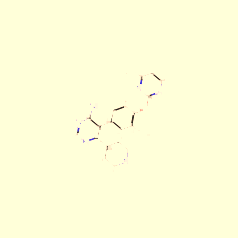 Cc1ccnc(Oc2ccc(-c3c(N)ncnc3C3CCNCC3)cc2F)n1